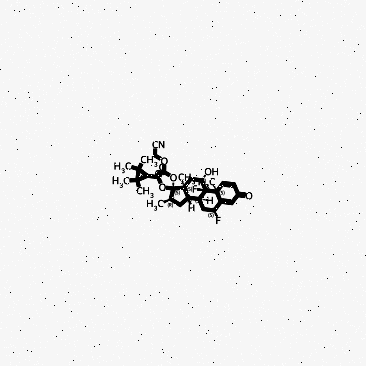 C[C@@H]1C[C@H]2[C@@H]3C[C@H](F)C4=CC(=O)C=C[C@]4(C)[C@@]3(F)[C@@H](O)C[C@]2(C)[C@]1(OC(=O)OCC#N)OC(=O)C1C(C)(C)C1(C)C